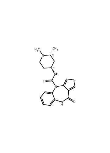 C[C@@H]1C[C@@H](NC(=O)N2c3ccccc3NC(=O)c3cscc32)CCN1C